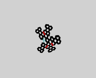 Fc1c(-c2ccc3c4cccc5cccc(c6cccc2c63)c54)c(-c2ccc3c4cccc5cccc(c6cccc2c63)c54)c(-c2ccc3c4cccc5cccc(c6cccc2c63)c54)c(-c2ccc3c4cccc5cccc(c6cccc2c63)c54)c1-c1ccc2c3cccc4cccc(c5cccc1c52)c43